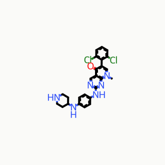 Cn1cc(-c2c(Cl)cccc2Cl)c(=O)c2cnc(Nc3ccc(NC4CCNCC4)cc3)nc21